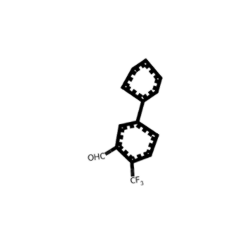 O=Cc1cc(-c2ccccc2)ccc1C(F)(F)F